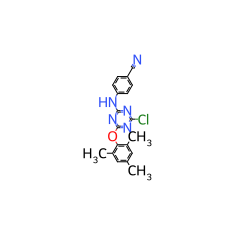 Cc1cc(C)c(Oc2nc(Cl)nc(Nc3ccc(C#N)cc3)n2)c(C)c1